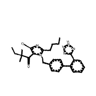 CCCCc1nc(Cl)c(C(=O)C(C)(C)CC)n1Cc1ccc(-c2ccccc2-c2nn[nH]n2)cc1